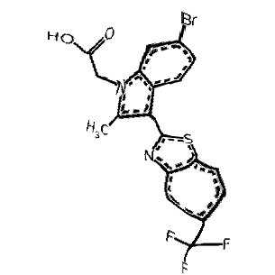 Cc1c(-c2nc3cc(C(F)(F)F)ccc3s2)c2ccc(Br)cc2n1CC(=O)O